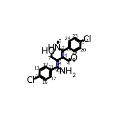 CN/C(=C(C=O)\C(CO)=C(/N)c1ccc(Cl)cc1)c1ccc(Cl)cc1